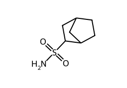 NS(=O)(=O)C1CC2CCC1C2